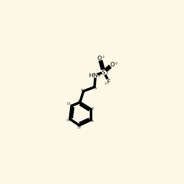 O=S(=O)(F)NCCc1ccccc1